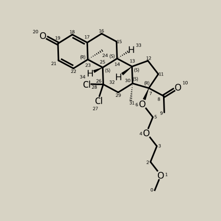 COCCOCO[C@]1(C(C)=O)CC[C@H]2[C@@H]3CCC4=CC(=O)C=C[C@]4(C)[C@H]3C(Cl)(Cl)C[C@@]21C